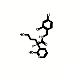 O=C(NCc1ccc(Cl)cc1Cl)[C@](F)(CCCO)c1cccnc1O